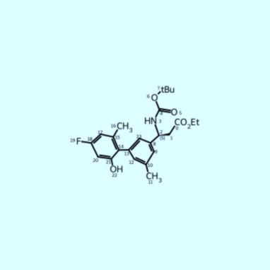 CCOC(=O)C[C@H](NC(=O)OC(C)(C)C)c1cc(C)cc(-c2c(C)cc(F)cc2O)c1